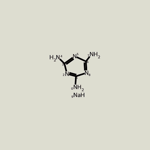 Nc1nc(N)nc(N)n1.[NaH]